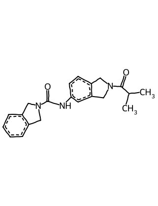 CC(C)C(=O)N1Cc2ccc(NC(=O)N3Cc4ccccc4C3)cc2C1